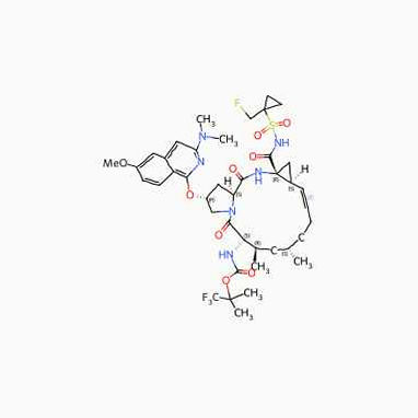 COc1ccc2c(O[C@@H]3C[C@H]4C(=O)N[C@]5(C(=O)NS(=O)(=O)C6(CF)CC6)C[C@H]5/C=C\CC[C@H](C)C[C@@H](C)[C@H](NC(=O)OC(C)(C)C(F)(F)F)C(=O)N4C3)nc(N(C)C)cc2c1